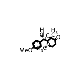 COc1ccc(CC2N(C)CCC(=O)C2(C)C)cc1.Cl